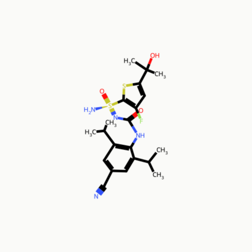 CC(C)c1cc(C#N)cc(C(C)C)c1NC(=O)N=[S@](N)(=O)c1sc(C(C)(C)O)cc1F